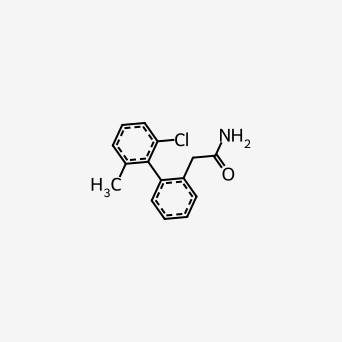 Cc1cccc(Cl)c1-c1ccccc1CC(N)=O